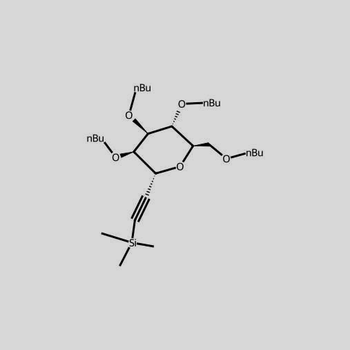 CCCCOC[C@H]1O[C@H](C#C[Si](C)(C)C)[C@@H](OCCCC)[C@@H](OCCCC)[C@@H]1OCCCC